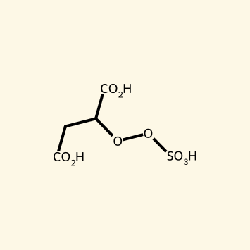 O=C(O)CC(OOS(=O)(=O)O)C(=O)O